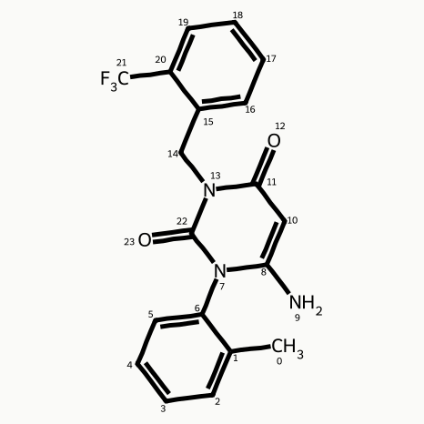 Cc1ccccc1-n1c(N)cc(=O)n(Cc2ccccc2C(F)(F)F)c1=O